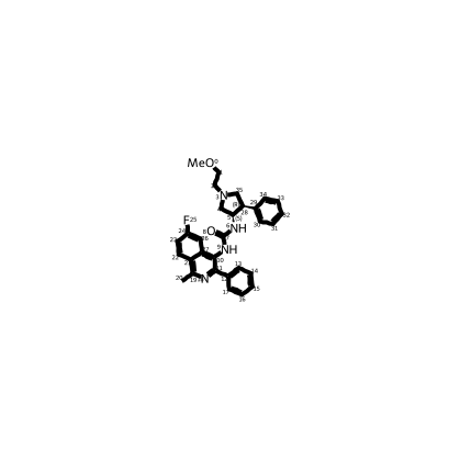 COCCN1C[C@@H](NC(=O)Nc2c(-c3ccccc3)nc(C)c3ccc(F)cc23)[C@H](c2ccccc2)C1